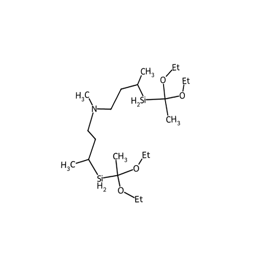 CCOC(C)(OCC)[SiH2]C(C)CCN(C)CCC(C)[SiH2]C(C)(OCC)OCC